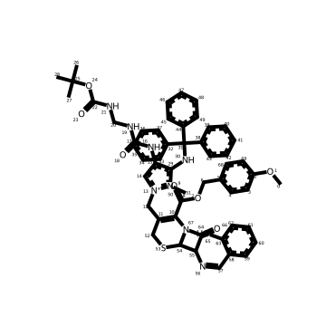 COc1ccc(COC(=O)C2=C(C[n+]3cc(NC(=O)NCNC(=O)OC(C)(C)C)c(NC(c4ccccc4)(c4ccccc4)c4ccccc4)n3C)CSC3C(/N=C\c4ccccc4O)C(=O)N23)cc1